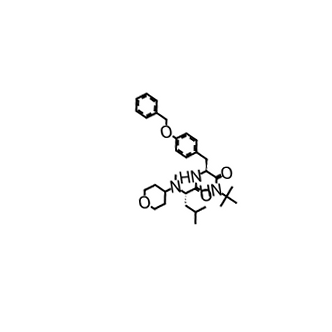 CC(C)C[C@@H](C(=O)N[C@@H](Cc1ccc(OCc2ccccc2)cc1)C(=O)NC(C)(C)C)N(C)C1CCOCC1